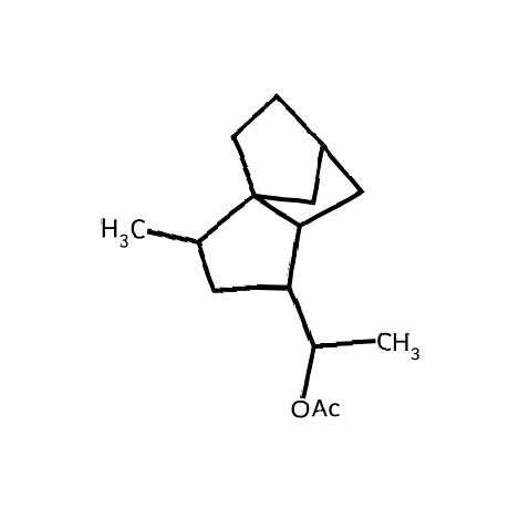 CC(=O)OC(C)C1CC(C)C23CCC(CC12)C3